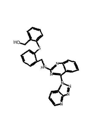 OCc1ccccc1Sc1ccccc1CNc1nc(-n2nnc3ncccc32)c2ccccc2n1